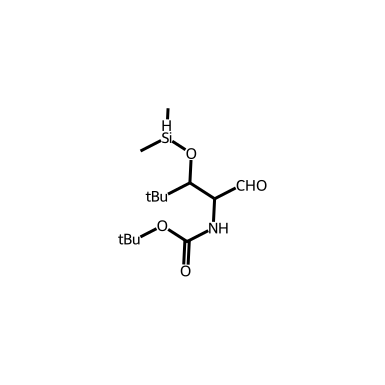 C[SiH](C)OC(C(C=O)NC(=O)OC(C)(C)C)C(C)(C)C